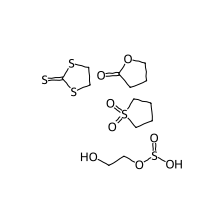 O=C1CCCO1.O=S(O)OCCO.O=S1(=O)CCCC1.S=C1SCCS1